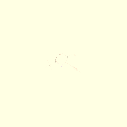 CC#Cc1nc(C(C)(C)C)ccc1C=O